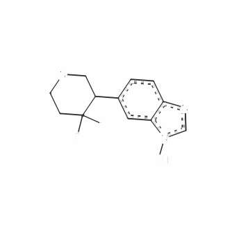 Cn1cnc2ccc(C3CNCCC3(F)F)cc21